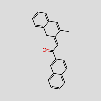 CC1=Cc2ccccc2CC1=CC(=O)c1ccc2ccccc2c1